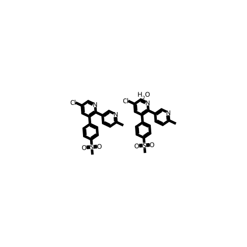 Cc1ccc(-c2ncc(Cl)cc2-c2ccc(S(C)(=O)=O)cc2)cn1.Cc1ccc(-c2ncc(Cl)cc2-c2ccc(S(C)(=O)=O)cc2)cn1.O